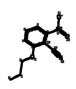 CCCOc1cccc([N+](=O)[O-])c1C#N